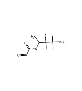 C=CC(=O)OC(C)C(F)(F)C(F)(F)S(=O)(=O)O